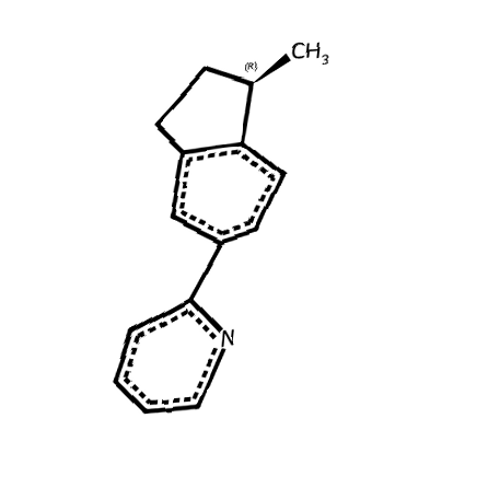 C[C@@H]1CCc2cc(-c3ccccn3)ccc21